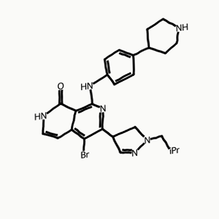 CC(C)CN1CC(c2nc(Nc3ccc(C4CCNCC4)cc3)c3c(=O)[nH]ccc3c2Br)C=N1